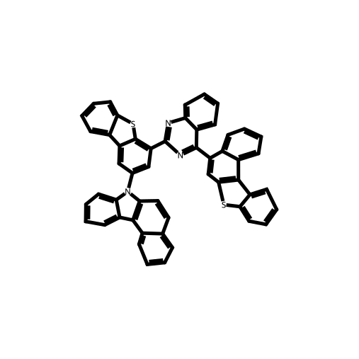 c1ccc2c(c1)ccc1c2c2ccccc2n1-c1cc(-c2nc(-c3cc4sc5ccccc5c4c4ccccc34)c3ccccc3n2)c2sc3ccccc3c2c1